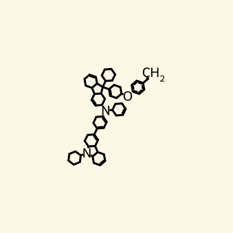 C=Cc1ccc(OC2CC=C(C3(C4CCCCC4)C4C=CCCC4C4C=CC(N(C5=CC=C(C6=CC7C8CC=CCC8N(C8CCCCC8)C7CC6)CC5)C5CC=CCC5)CC43)CC2)cc1